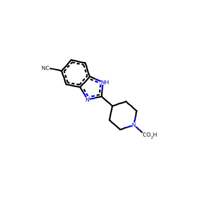 N#Cc1ccc2[nH]c(C3CCN(C(=O)O)CC3)nc2c1